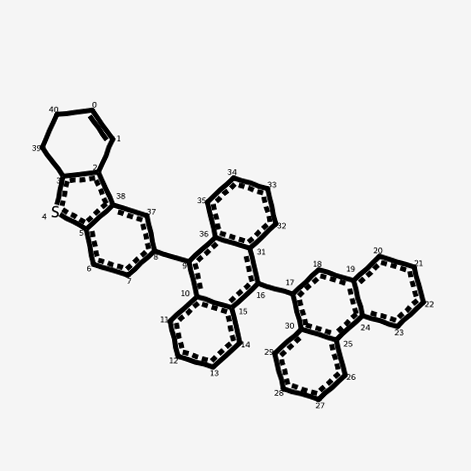 C1=Cc2c(sc3ccc(-c4c5ccccc5c(-c5cc6ccccc6c6ccccc56)c5ccccc45)cc23)CC1